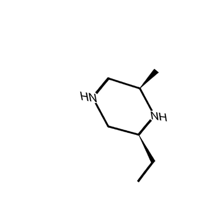 CC[C@H]1CNC[C@@H](C)N1